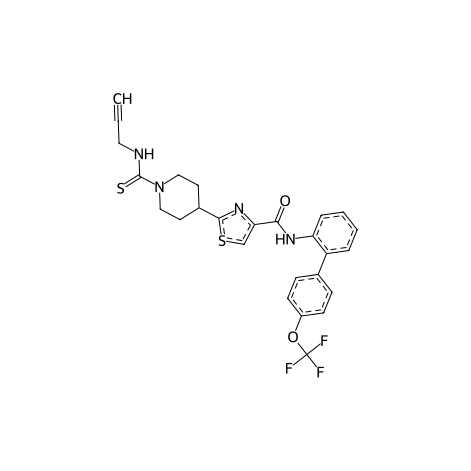 C#CCNC(=S)N1CCC(c2nc(C(=O)Nc3ccccc3-c3ccc(OC(F)(F)F)cc3)cs2)CC1